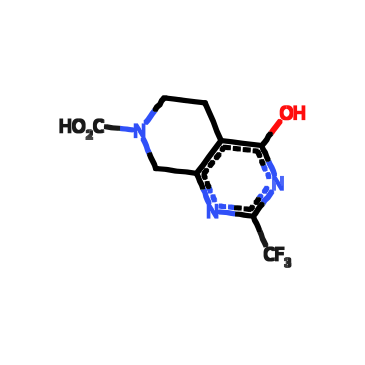 O=C(O)N1CCc2c(O)nc(C(F)(F)F)nc2C1